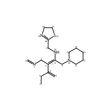 C=NC/C(C(=C)CC)=C(/CN1CCCCC1)NCC1=NCCS1